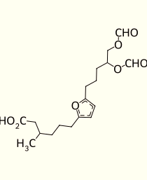 CC(CCCc1ccc(CCCC(COC=O)OC=O)o1)CC(=O)O